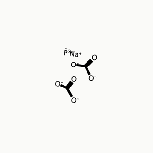 O=C([O-])[O-].O=C([O-])[O-].[Na+].[P+3]